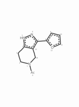 CC(=O)N1CCc2[nH]nc(-c3ccco3)c2C1